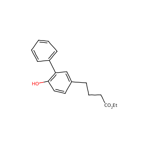 CCOC(=O)CCCc1ccc(O)c(-c2ccccc2)c1